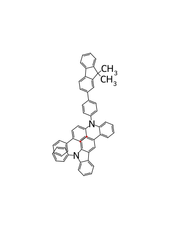 CC1(C)c2ccccc2-c2ccc(-c3ccc(N(c4ccc(-c5ccccc5)cc4)c4ccccc4-c4ccc5c(c4)c4ccccc4n5-c4ccccc4)cc3)cc21